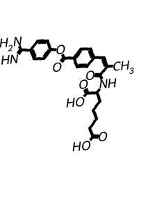 CC(=Cc1ccc(C(=O)Oc2ccc(C(=N)N)cc2)cc1)C(=O)NC(CCCCC(=O)O)C(=O)O